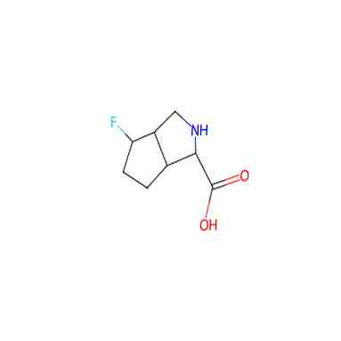 O=C(O)C1NCC2C(F)CCC12